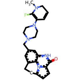 CN1CC=CC(N2CCN(Cc3cc4c5c(c3)[nH]c(=O)c3ccc(n35)CC4)CC2)=C1F